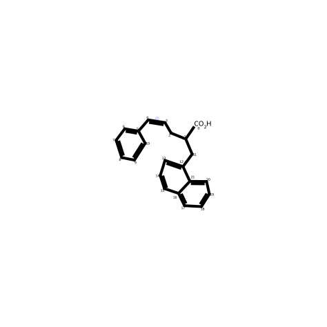 O=C(O)C(C/C=C\c1ccccc1)Cc1cccc2ccccc12